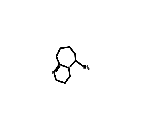 NC1CCCCC2=NCCCN21